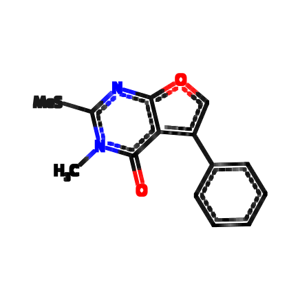 CSc1nc2occ(-c3ccccc3)c2c(=O)n1C